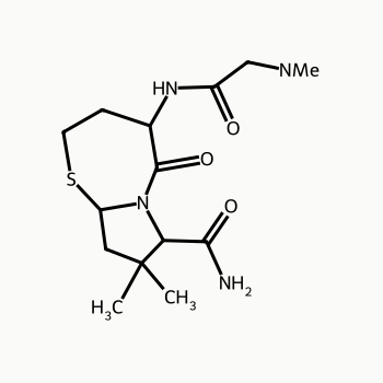 CNCC(=O)NC1CCSC2CC(C)(C)C(C(N)=O)N2C1=O